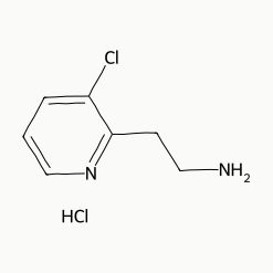 Cl.NCCc1ncccc1Cl